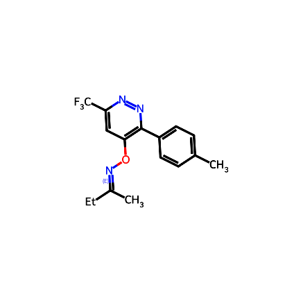 CC/C(C)=N/Oc1cc(C(F)(F)F)nnc1-c1ccc(C)cc1